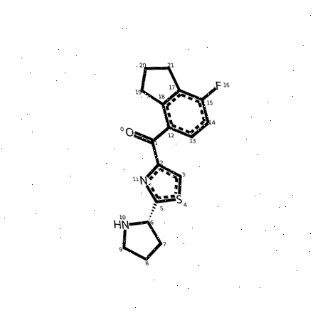 O=C(c1csc([C@@H]2CCCN2)n1)c1ccc(F)c2c1CCC2